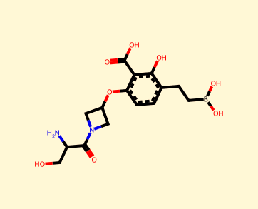 NC(CO)C(=O)N1CC(Oc2ccc(CCB(O)O)c(O)c2C(=O)O)C1